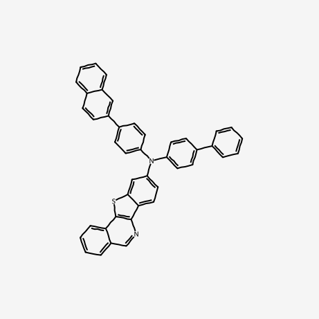 c1ccc(-c2ccc(N(c3ccc(-c4ccc5ccccc5c4)cc3)c3ccc4c(c3)sc3c5ccccc5cnc43)cc2)cc1